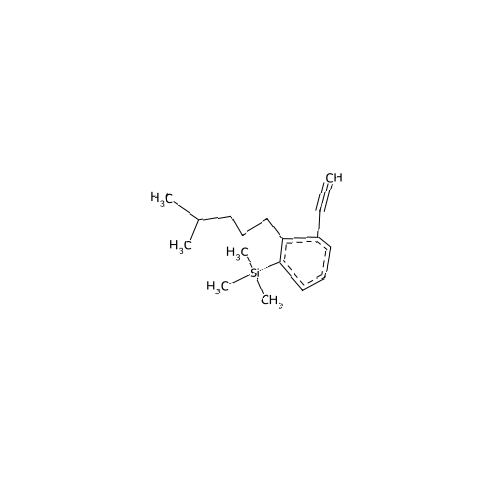 C#Cc1cccc([Si](C)(C)C)c1CCCC(C)C